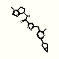 Cn1cnc2c1CC[C@H]2NC(=O)c1cc(Cc2ccc(N3CC4CC4C3)nc2Cl)no1